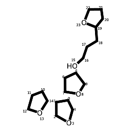 C1CCOC1.C1CCOC1.C1CCOC1.OCCCC1CCCO1